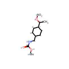 CC(O[N+](=O)[O-])C1CCC(CNC(=O)OC(C)(C)C)CC1